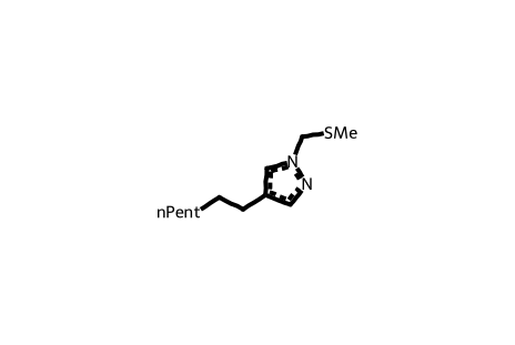 CCCCCCCc1cnn(CSC)c1